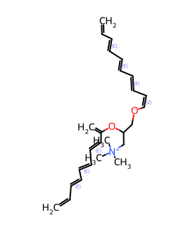 C=C/C=C/C=C/C=C/C=C\OCC(C[N+](C)(C)C)OC(=C)/C=C/C=C/C=C/C=C